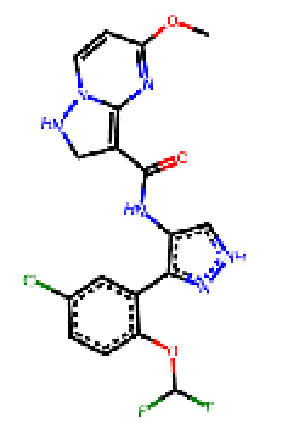 COC1=NC2=C(C(=O)Nc3c[nH]nc3-c3cc(Cl)ccc3OC(F)F)CNN2C=C1